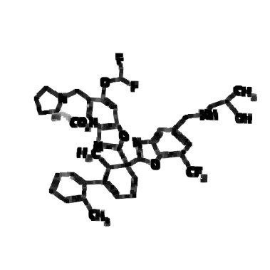 Cc1ccccc1C1=CC=CC(c2nc3cc(CN4CCC[C@H]4C(=O)O)c(OC(F)F)cc3o2)(c2nc3cc(CNCC(C)O)cc(C(F)(F)F)c3o2)C1C